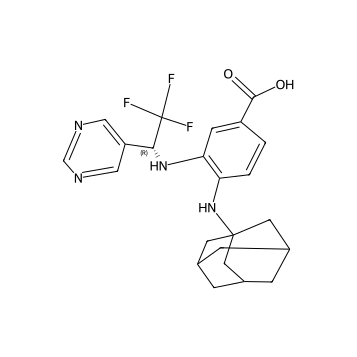 O=C(O)c1ccc(NC23CC4CC(CC(C4)C2)C3)c(N[C@H](c2cncnc2)C(F)(F)F)c1